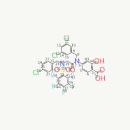 O=C(O)c1ccc(N(Cc2cc(Cl)cc(Cl)c2)C(=O)CN(Cc2ccc(Cl)cc2)S(=O)(=O)c2c(F)c(F)c(F)c(F)c2F)cc1O